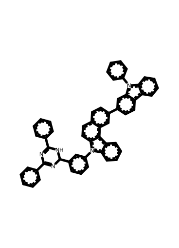 c1ccc(C2=NC(c3cccc(-n4c5ccccc5c5c6cc(-c7ccc8c9ccccc9n(-c9ccccc9)c8c7)ccc6ccc54)c3)NC(c3ccccc3)=N2)cc1